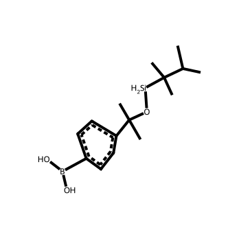 CC(C)C(C)(C)[SiH2]OC(C)(C)c1ccc(B(O)O)cc1